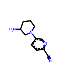 N#Cc1ccc(N2CCCC(N)C2)cn1